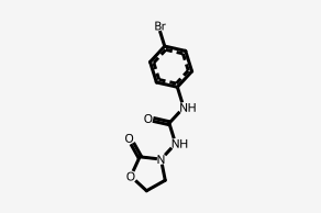 O=C(Nc1ccc(Br)cc1)NN1CCOC1=O